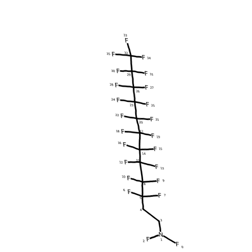 FN(F)CCC(F)(F)C(F)(F)C(F)(F)C(F)(F)C(F)(F)C(F)(F)C(F)(F)C(F)(F)C(F)(F)C(F)(F)F